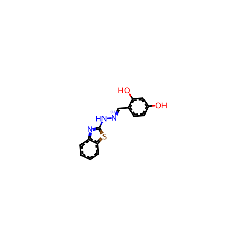 Oc1ccc(/C=N/Nc2nc3ccccc3s2)c(O)c1